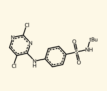 CC(C)(C)NS(=O)(=O)c1ccc(Nc2nc(Cl)ncc2Cl)cc1